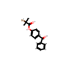 CC(C)(Br)C(=O)Oc1ccc(C(=O)c2ccccc2)cc1